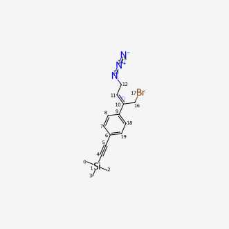 C[Si](C)(C)C#Cc1ccc(/C(=C/CN=[N+]=[N-])CBr)cc1